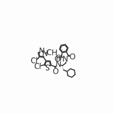 Cn1ncc(Cl)c1-c1cc(C(=O)N[C@@H](CC2CCCCC2)CN2C(=O)c3ccccc3C2=O)sc1Cl